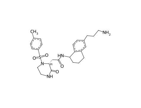 Cc1ccc(S(=O)(=O)N2CCNC(=O)[C@H]2CC(=O)NC2CCCc3cc(CCCN)ccc32)cc1